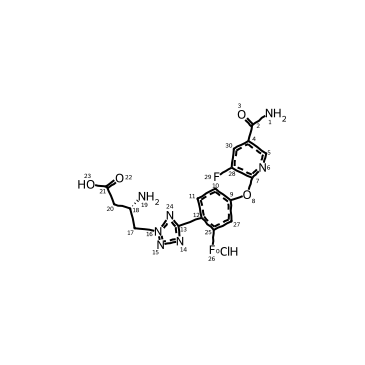 Cl.NC(=O)c1cnc(Oc2ccc(-c3nnn(C[C@@H](N)CC(=O)O)n3)c(F)c2)c(F)c1